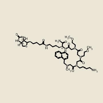 COCCN(CC(=O)N[C@@H](CCCCNC(=O)CCCCC1SC[C@@H]2NC(=O)N[C@H]12)C(N)=O)C(=O)CN(CCOC)C(=O)CN(CCCCN)C(=O)CN(C)Cc1cccc2ccccc12